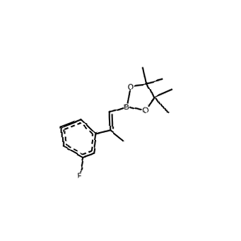 CC(=CB1OC(C)(C)C(C)(C)O1)c1cccc(F)c1